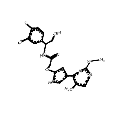 CNc1ncc(C)c(-c2c[nH]c(OC(=O)NC(CO)c3ccc(F)c(Cl)c3)c2)n1